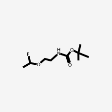 CC(F)OCCNC(=O)OC(C)(C)C